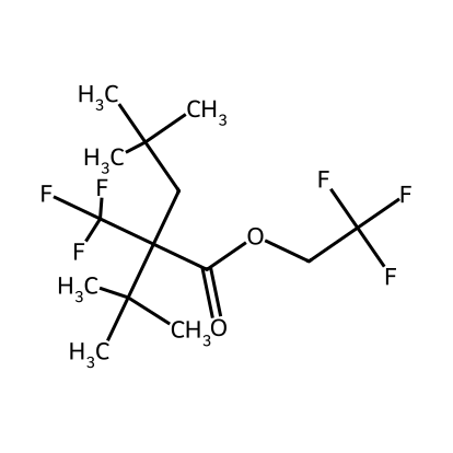 CC(C)(C)CC(C(=O)OCC(F)(F)F)(C(C)(C)C)C(F)(F)F